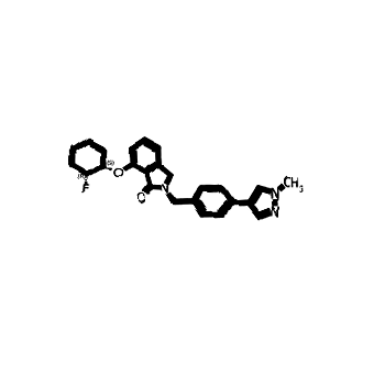 Cn1cc(-c2ccc(CN3Cc4cccc(O[C@H]5CCCC[C@H]5F)c4C3=O)cc2)cn1